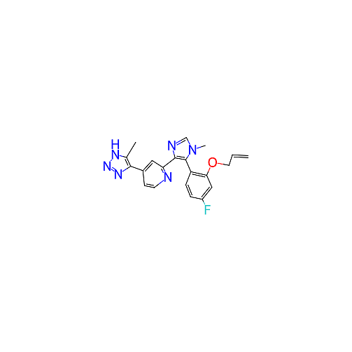 C=CCOc1cc(F)ccc1-c1c(-c2cc(-c3nn[nH]c3C)ccn2)ncn1C